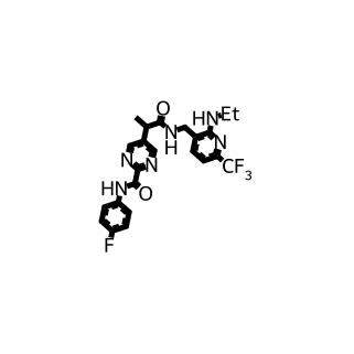 CCNc1nc(C(F)(F)F)ccc1CNC(=O)C(C)c1cnc(C(=O)Nc2ccc(F)cc2)nc1